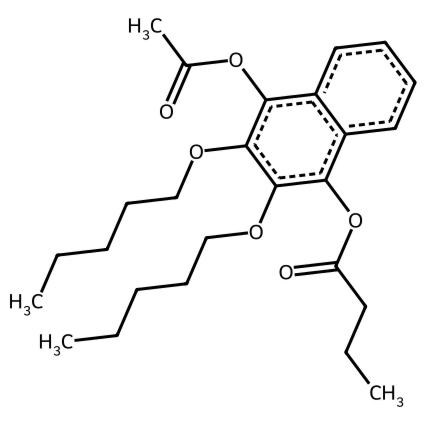 CCCCCOc1c(OCCCCC)c(OC(=O)CCC)c2ccccc2c1OC(C)=O